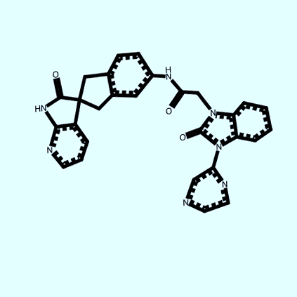 O=C(Cn1c(=O)n(-c2cnccn2)c2ccccc21)Nc1ccc2c(c1)CC1(C2)C(=O)Nc2ncccc21